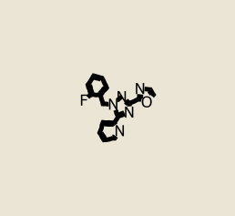 Fc1ccccc1Cn1nc(-c2ncco2)nc1-c1ccccn1